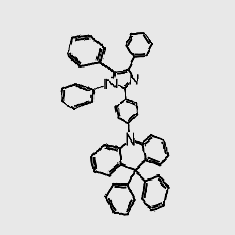 c1ccc(-c2nc(-c3ccc(N4c5ccccc5C(c5ccccc5)(c5ccccc5)c5ccccc54)cc3)n(-c3ccccc3)c2-c2ccccc2)cc1